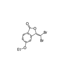 CCOc1ccc2c(c1)C(=C(Br)Br)OC2=O